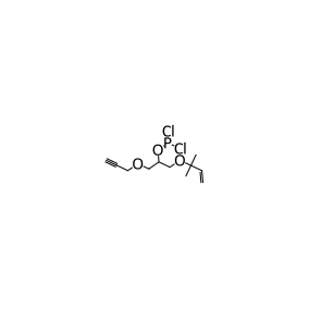 C#CCOCC(COC(C)(C)C=C)OP(Cl)Cl